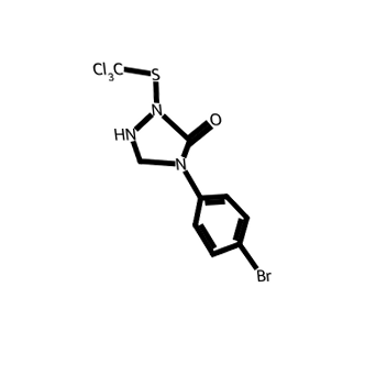 O=C1N(SC(Cl)(Cl)Cl)NCN1c1ccc(Br)cc1